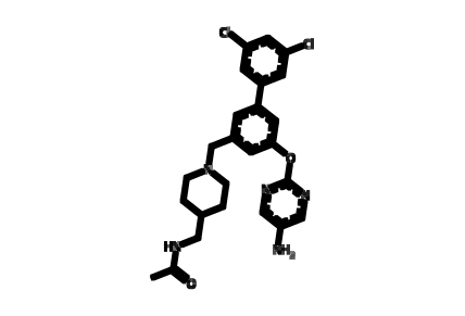 CC(=O)NCC1CCN(Cc2cc(Oc3ncc(N)cn3)cc(-c3cc(Cl)cc(Cl)c3)c2)CC1